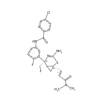 CN(C)C(=O)/C=C/[C@]12CC1[C@@](CF)(c1cc(NC(=O)c3ccc(Cl)cn3)ccc1F)N=C(N)S2